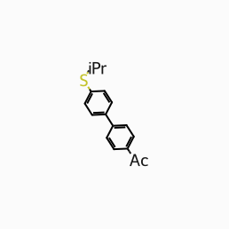 CC(=O)c1ccc(-c2ccc(SC(C)C)cc2)cc1